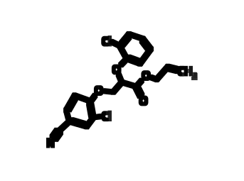 C=CCOC(=O)C(COc1ccc(C#N)cc1Cl)Oc1ccccc1Cl